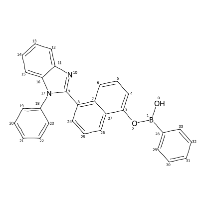 OB(Oc1cccc2c(-c3nc4ccccc4n3-c3ccccc3)cccc12)c1ccccc1